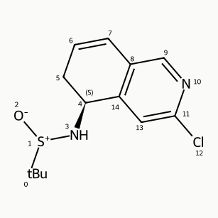 CC(C)(C)[S+]([O-])N[C@H]1CC=Cc2cnc(Cl)cc21